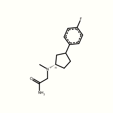 CN(CC(N)=O)[C@H]1CCC(c2ccc(F)cc2)C1